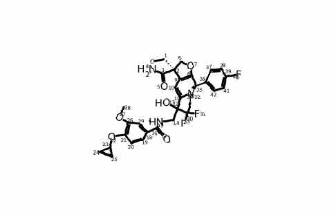 CC[C@]1(C(N)=O)COc2c1cc(C(O)(CNC(=O)c1ccc(OC3CC3)c(OC)c1)C(F)(F)F)nc2-c1ccc(F)cc1